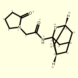 O=C(CN1CCCC1=O)NC12CC3C[C@H](C[C@H](C3)O1)O2